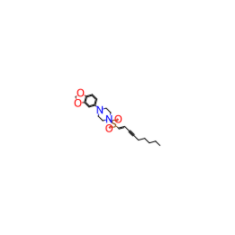 CCCCCC#CC=CS(=O)(=O)N1CCN(c2ccc3c(c2)OCO3)CC1